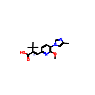 COc1nc(/C=C(/C(=O)O)C(C)(C)C)ccc1-n1cnc(C)c1